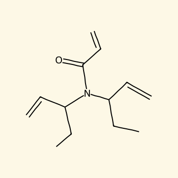 C=CC(=O)N(C(C=C)CC)C(C=C)CC